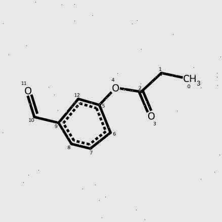 C[CH]C(=O)Oc1cccc(C=O)c1